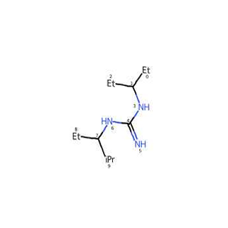 CCC(CC)NC(=N)NC(CC)C(C)C